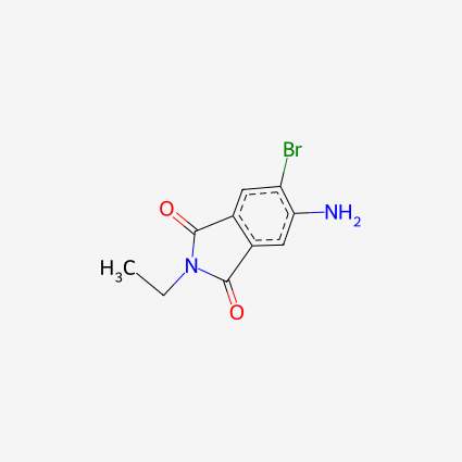 CCN1C(=O)c2cc(N)c(Br)cc2C1=O